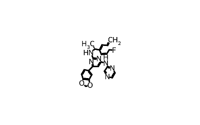 C=C/C=C(\C=C/CF)[C@H](C)Nc1nc(Nc2cnccn2)cc(-c2ccc3c(c2)OCO3)n1